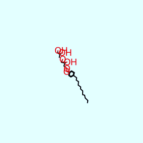 CCCCCCCCCCCCc1ccc(OOCC(O)COCC(O)CO)cc1